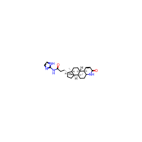 C[C@]12CC[C@H]3[C@@H](CCC4NC(=O)C=C[C@@]43C)[C@@H]1CC[C@@H]2CCC(=O)Nc1ncc[nH]1